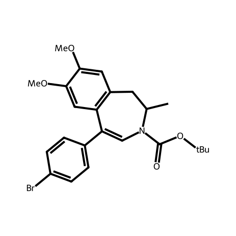 COc1cc2c(cc1OC)C(c1ccc(Br)cc1)=CN(C(=O)OC(C)(C)C)C(C)C2